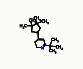 CC(C)(C)C1=NCCC(B2CC(C)(C)C(C)(C)C2)=C1